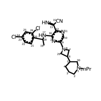 CCCN1CCCC(C2CN(c3cnc(C(=N)C#N)c(NC(C)c4ccc(Cl)cc4Cl)n3)C2)C1